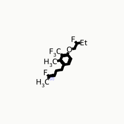 CCC(F)COc1ccc(CC/C=C(/C)F)c(C)c1C(F)(F)F